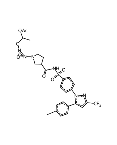 CC(=O)OC(C)On1on1N1CCC(C(=O)NS(=O)(=O)c2ccc(-n3nc(C(F)(F)F)cc3-c3ccc(C)cc3)cc2)C1